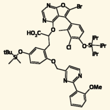 COc1ccccc1-c1nccc(COc2ccc(O[Si](C)(C)C(C)(C)C)cc2CC(Oc2ncnc3oc(Br)c(-c4ccc(O[Si](C(C)C)(C(C)C)C(C)C)c(Cl)c4C)c23)C(=O)O)n1